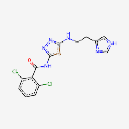 O=C(Nc1nnc(NCCc2c[nH]cn2)s1)c1c(Cl)cccc1Cl